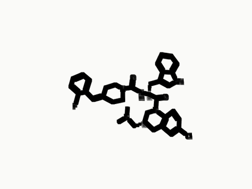 CN(C)C[C@H]1Cc2cc(Cl)ccc2N(C(=O)[C@@H](Cc2c[nH]c3ccccc23)NC(=O)N2CCC(=Cc3ccccc3F)CC2)C1